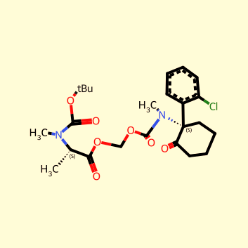 C[C@@H](C(=O)OCOC(=O)N(C)[C@]1(c2ccccc2Cl)CCCCC1=O)N(C)C(=O)OC(C)(C)C